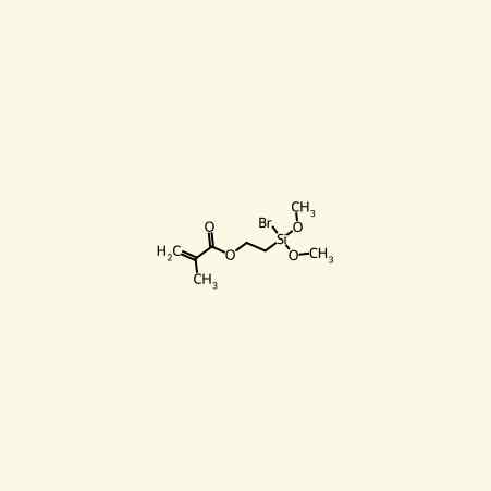 C=C(C)C(=O)OCC[Si](Br)(OC)OC